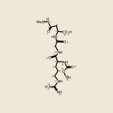 CSNC(=O)CC(NC(=O)CNC(=O)C(CCCNC(=N)N)NC(=O)OC(C)(C)C)C(=O)O